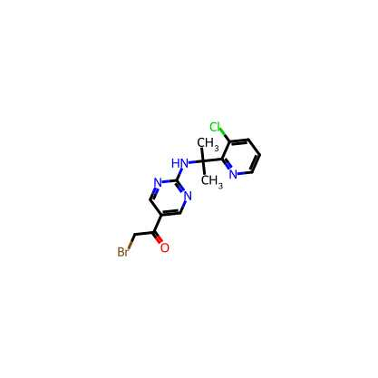 CC(C)(Nc1ncc(C(=O)CBr)cn1)c1ncccc1Cl